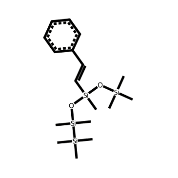 C[Si](C)(C)O[Si](C)(C=Cc1ccccc1)O[Si](C)(C)[Si](C)(C)C